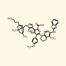 COc1ccc(-c2c(N3CCCc4c3nnc(Nc3nc5ccccc5s3)c4C)nc(C(=O)O)c(-c3cnn(CC45CC6(C)CC(C)(CC(CCCO)(C6)C4)C5)c3C)c2C)cc1